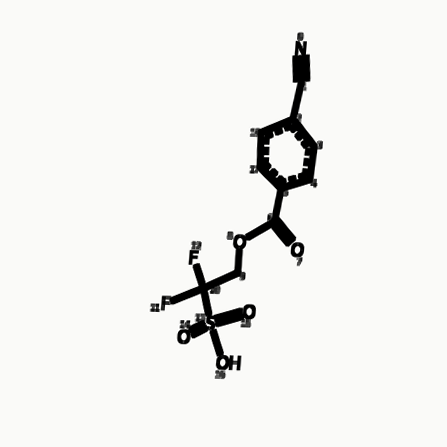 N#Cc1ccc(C(=O)OCC(F)(F)S(=O)(=O)O)cc1